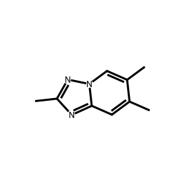 Cc1nc2cc(C)c(C)cn2n1